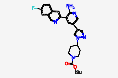 CC(C)(C)OC(=O)N1CCC(n2cc(-c3cnc(N)c(-c4cc5ccc(F)cc5cn4)c3)cn2)CC1